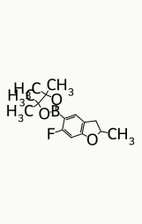 CC1Cc2cc(B3OC(C)(C)C(C)(C)O3)c(F)cc2O1